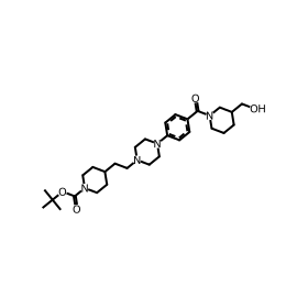 CC(C)(C)OC(=O)N1CCC(CCN2CCN(c3ccc(C(=O)N4CCCC(CO)C4)cc3)CC2)CC1